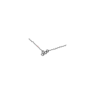 CCCCCCCCCCCCCCCCCCOc1ccc(C[O])c(OCCCCCCCCCCCCCCCCCC)c1